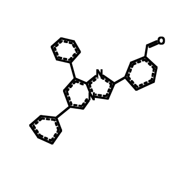 O=Cc1cccc(-c2cn3cc(-c4ccccc4)cc(-c4ccccc4)c3n2)c1